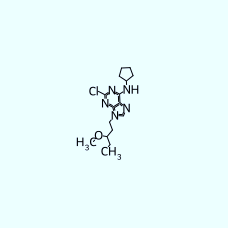 CCC(CCn1cnc2c(NC3CCCC3)nc(Cl)nc21)OC